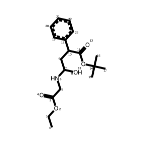 CCOC(=O)CNC(O)CC(C(=O)OC(C)(C)C)c1ccccc1